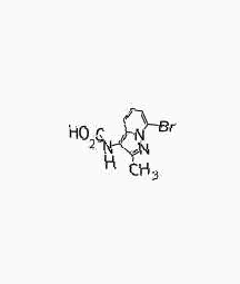 Cc1nn2c(Br)cccc2c1NC(=O)O